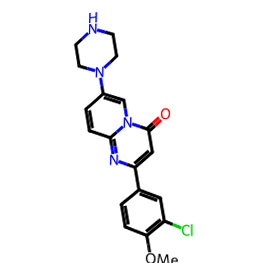 COc1ccc(-c2cc(=O)n3cc(N4CCNCC4)ccc3n2)cc1Cl